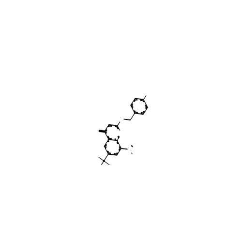 O=c1cc(NCc2ccc(F)cc2)sc2c([N+](=O)[O-])cc(C(F)(F)F)cc12